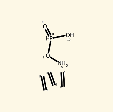 C=C.C=C.C=C.NO[PH](=O)O